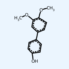 COc1ccc(-c2ccc(O)cc2)cc1OC